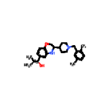 C[C@H](C(=O)O)[C@@H](O)c1ccc2c(c1)NC(C1CCN(Cc3cc(C(F)(F)F)ccc3C(F)(F)F)CC1)CO2